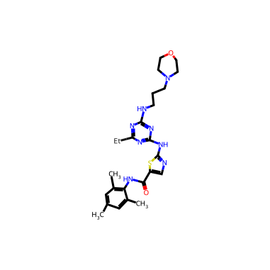 CCc1nc(NCCCN2CCOCC2)nc(Nc2ncc(C(=O)Nc3c(C)cc(C)cc3C)s2)n1